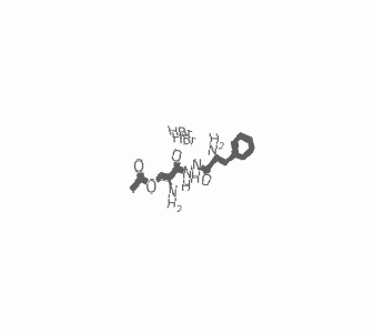 Br.Br.CC(=O)OC[C@H](N)C(=O)NNC(=O)[C@@H](N)Cc1ccccc1